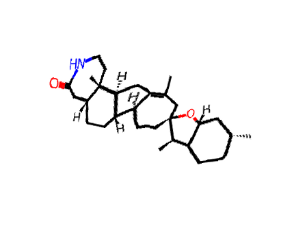 CC1=C2C[C@H]3[C@@H](CC[C@@H]4CC(=O)NCC[C@@]43C)[C@@H]2CC[C@@]2(C1)O[C@@H]1C[C@H](C)CCC1[C@H]2C